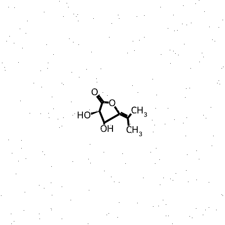 CC(C)=C1OC(=O)[C@H](O)[C@@H]1O